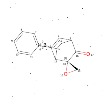 BC1=CC2CC(c3ccccc3)C1[C@]1(CO1)C2=O